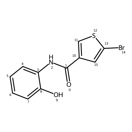 O=C(Nc1ccccc1O)c1csc(Br)c1